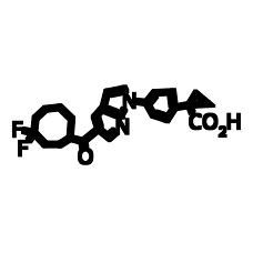 O=C(c1cnc2c(ccn2-c2ccc(C3(C(=O)O)CC3)cc2)c1)C1CCCCC(F)(F)CC1